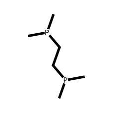 CP(C)CCP(C)C